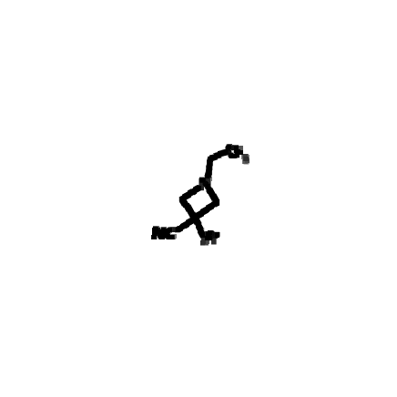 CC(C)C1(C#N)CN(CC(F)(F)F)C1